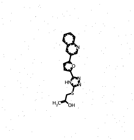 C=C(O)CSc1nnc(-c2ccc(-c3cnc4ccccc4c3)o2)[nH]1